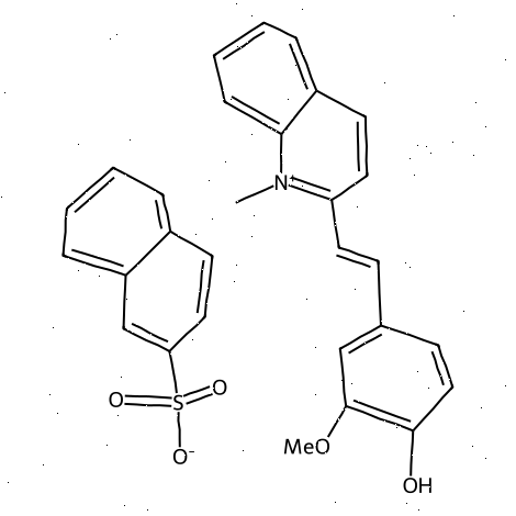 COc1cc(/C=C/c2ccc3ccccc3[n+]2C)ccc1O.O=S(=O)([O-])c1ccc2ccccc2c1